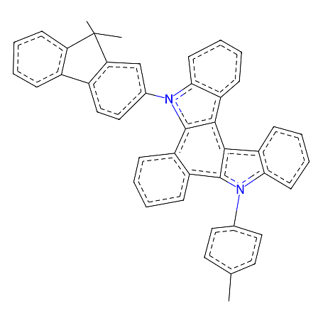 Cc1ccc(-n2c3ccccc3c3c4c5ccccc5n(-c5ccc6c(c5)C(C)(C)c5ccccc5-6)c4c4ccccc4c32)cc1